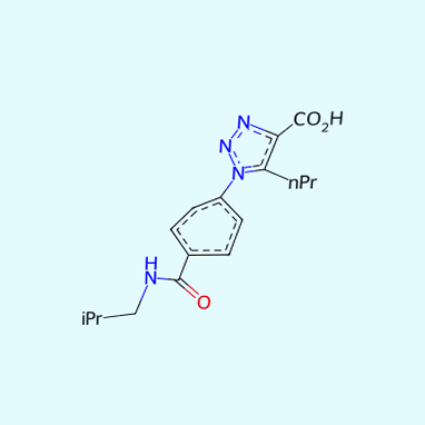 CCCc1c(C(=O)O)nnn1-c1ccc(C(=O)NCC(C)C)cc1